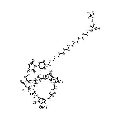 COc1cc2cc(c1Cl)N(C)C(=O)C[C@H](OC(=O)[C@H](C)N(C)C(=O)CCSC1CC(=O)N(c3ccc(CCCCCCCCCCCCCCCCCCOP(=O)(O)OCC[N+](C)(C)C)cc3)C1=O)[C@@]1(C)O[C@H]1[C@H](C)[C@@H]1C[C@@](O)(NC(=O)O1)[C@H](OC)/C=C/C=C(\C)C2